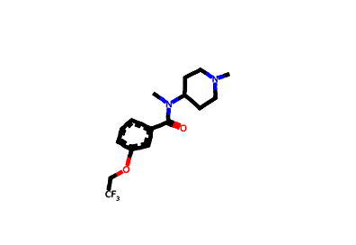 CN1CCC(N(C)C(=O)c2cccc(OCC(F)(F)F)c2)CC1